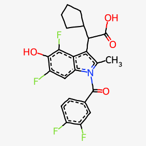 Cc1c(C(C(=O)O)C2CCCC2)c2c(F)c(O)c(F)cc2n1C(=O)c1ccc(F)c(F)c1